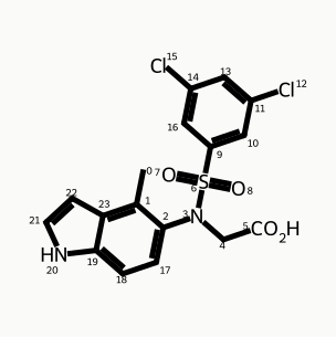 Cc1c(N(CC(=O)O)S(=O)(=O)c2cc(Cl)cc(Cl)c2)ccc2[nH]ccc12